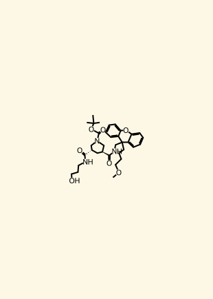 COCCCCC1(CNC(=O)[C@H]2C[C@H](C(=O)NCCCO)CN(C(=O)OC(C)(C)C)C2)c2ccccc2Oc2ccccc21